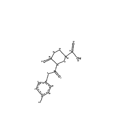 Cc1ccc(CC(=O)C2CN(C(=O)O)CCC2=O)cc1